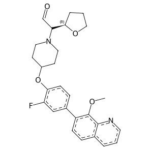 COc1c(-c2ccc(OC3CCN(C(C=O)[C@H]4CCCO4)CC3)c(F)c2)ccc2cccnc12